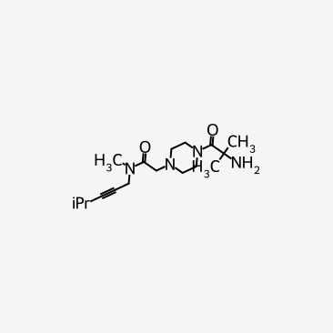 CC(C)C#CCN(C)C(=O)CN1CCN(C(=O)C(C)(C)N)CC1